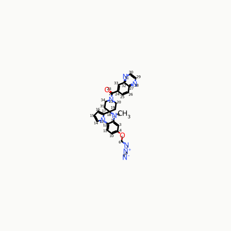 CN1c2cc(OCN=[N+]=[N-])ccc2-n2cccc2C12CCN(C(=O)c1ccc3nccnc3c1)CC2